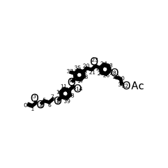 C=CC(=O)OCCCOc1ccc(C(=O)Oc2ccc(CCC(=O)c3ccc(OCCCOC(C)=O)cc3)cc2C)cc1